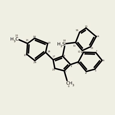 CC1=C(c2ccccc2)C([SiH2]c2ccccc2)=C(c2ccc(C)cc2)C1